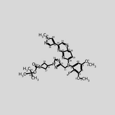 COc1cc(OC)c(F)c(N(Cc2ncn(C3CN(C(=O)OC(C)(C)C)C3)n2)c2ccc3ncc(-c4cnn(C)c4)nc3n2)c1